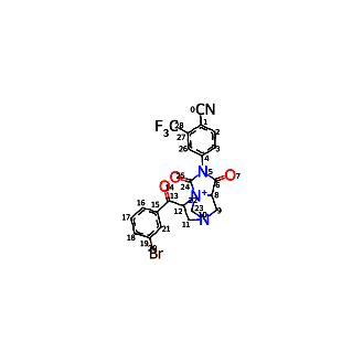 N#Cc1ccc(N2C(=O)C3CN4CC(C(=O)c5cccc(Br)c5)[N+]3(C4)C2=O)cc1C(F)(F)F